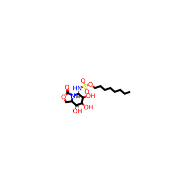 CCCCCCCCOS(=O)(=O)N[C@@H]1C(O)C(O)[C@H](O)C2COC(=O)N21